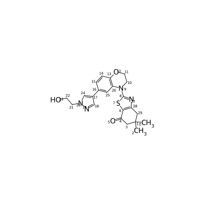 CC1(C)CC(=O)c2sc(N3CCOc4ccc(-c5cnn(CCO)c5)cc43)nc2C1